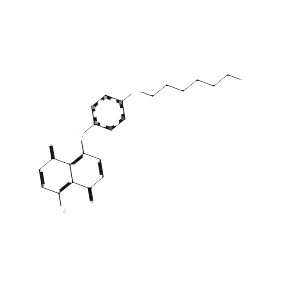 CCCCCCCOc1ccc(NC2=C3C(=O)C=CC(N)=C3C(=O)C=C2)cc1